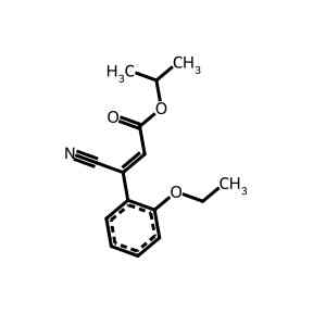 CCOc1ccccc1C(C#N)=CC(=O)OC(C)C